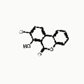 O=c1oc2ccccc2c2ccc(Cl)c(O)c12